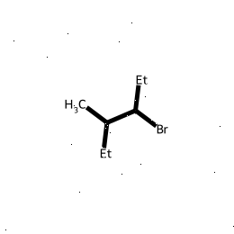 CC[C](Br)C(C)CC